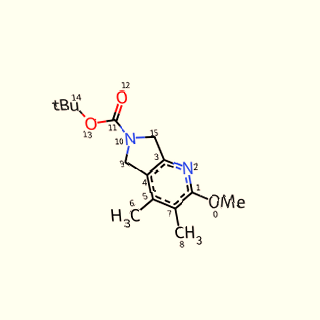 COc1nc2c(c(C)c1C)CN(C(=O)OC(C)(C)C)C2